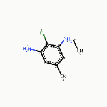 CC#N.N#Cc1cc(N)c(Cl)c(N)c1